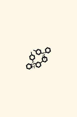 Cc1ccc([SH](c2ccccc2)c2cccc(-c3cccc([SH](c4ccccc4)c4ccc(C)cc4)c3)c2)cc1